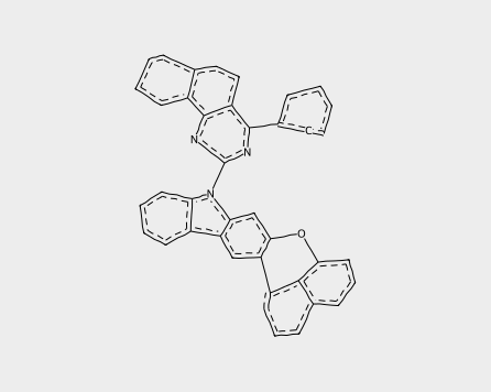 c1ccc(-c2nc(-n3c4ccccc4c4cc5c(cc43)Oc3cccc4cccc-5c34)nc3c2ccc2ccccc23)cc1